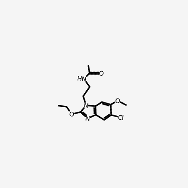 CCOc1nc2cc(Cl)c(OC)cc2n1CCNC(C)=O